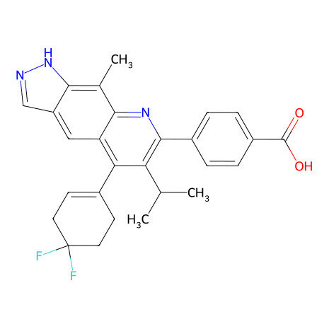 Cc1c2nc(-c3ccc(C(=O)O)cc3)c(C(C)C)c(C3=CCC(F)(F)CC3)c2cc2cn[nH]c12